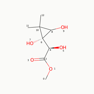 COC(=O)[C@H](O)[C@]1(O)C(O)C1(C)C